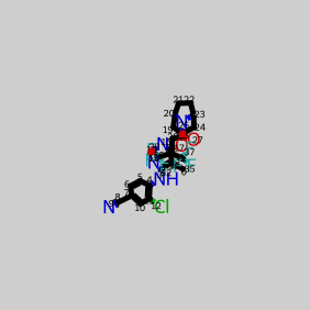 Cc1c(Nc2ccc(C#N)cc2Cl)ncnc1OC1CC2CCC(C1)N2C(=O)CC(C(F)(F)F)C(F)(F)F